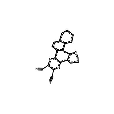 N#Cc1nc2c3cccnc3c3c4ccccc4ccc3c2nc1C#N